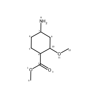 COC(=O)C1CCC(N)CC1OC